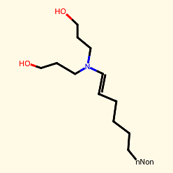 CCCCCCCCCCCCCC=CN(CCCO)CCCO